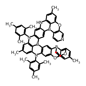 Cc1cc(C)c(N2c3cc4c(cc3B3c5cc6c(cc5N(c5c(C)cc(C)cc5C)c5cc(C)cc2c53)Oc2cc(C)cc3c2B6c2ccncc2O3)B2c3ccncc3Oc3cc(C)cc(c32)N4)c(C)c1